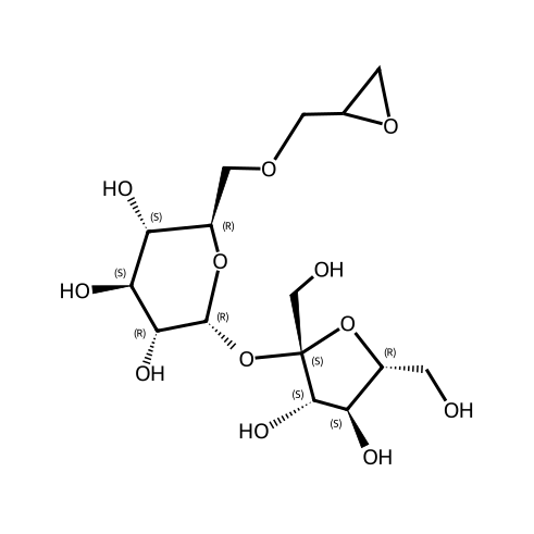 OC[C@H]1O[C@@](CO)(O[C@H]2O[C@H](COCC3CO3)[C@@H](O)[C@H](O)[C@H]2O)[C@@H](O)[C@@H]1O